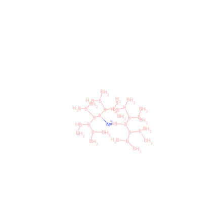 BBB(B(B)B)B(B(B)B)B(/N=B/B(B(B(B)B)B(B)B)B(B(B)B)B(B)B)B(B(B)B)B(B)B